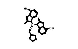 CC1=Cc2c(cccc2C(C)(C)C)[CH]1[Hf](=[Si]=CC1CCCC1)[CH]1C(C)=Cc2c1cccc2C(C)(C)C